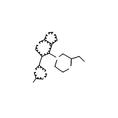 Cc1noc(-c2cnc3[nH]ncc3c2N2CCOC(CN)C2)n1